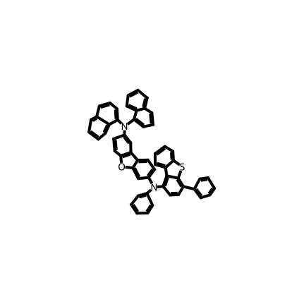 c1ccc(-c2ccc(N(c3ccccc3)c3ccc4c(c3)oc3ccc(N(c5cccc6ccccc56)c5cccc6ccccc56)cc34)c3c2sc2ccccc23)cc1